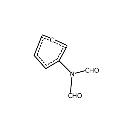 O=CN(C=O)c1ccccc1